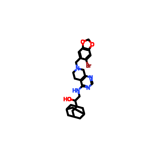 OC(CNc1ncnc2c1CCN(Cc1cc3c(cc1Br)OCO3)C2)C12CC3CC(CC(C3)C1)C2